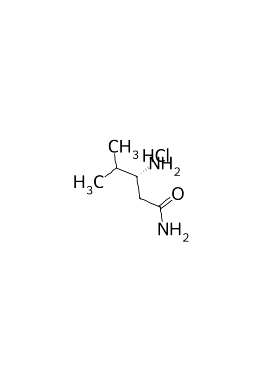 CC(C)[C@H](N)CC(N)=O.Cl